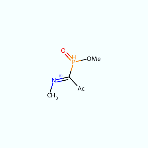 C/N=C(\C(C)=O)[PH](=O)OC